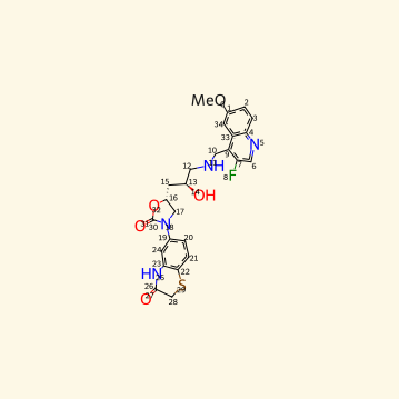 COc1ccc2ncc(F)c(CNC[C@@H](O)C[C@@H]3CN(c4ccc5c(c4)NC(=O)CS5)C(=O)O3)c2c1